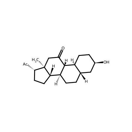 CC(=O)[C@H]1CC[C@H]2[C@@H]3CC[C@H]4C[C@H](O)CC[C@@H]4[C@H]3C(=O)C[C@]12C